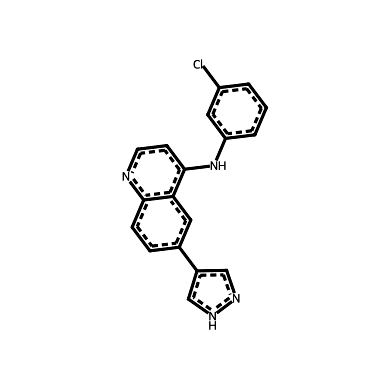 Clc1cccc(Nc2ccnc3ccc(-c4cn[nH]c4)cc23)c1